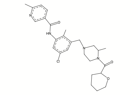 Cc1ccc(C(=O)Nc2cc(Cl)cc(CN3CCN(C(=O)C4CCCCO4)C(C)C3)c2C)cn1